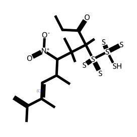 C=C(C)/C(C)=C/C(C)C([N+](=O)[O-])C(C)(C)C(C)(C(=O)CC)S(=S)(=S)S(=S)(=S)S